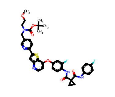 COCCN(Cc1ccc(-c2cc3nccc(Oc4ccc(NC(=O)C5(C(=O)Nc6ccc(F)cc6)CC5)c(F)c4)c3s2)nc1)C(=O)OC(C)(C)C